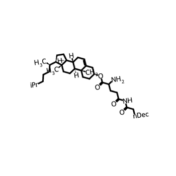 CCCCCCCCCCCC(=O)NC(=O)CCC(N)C(=O)O[C@H]1CC[C@@]2(C)C(=CC[C@H]3[C@@H]4CC[C@H]([C@H](C)CCCC(C)C)[C@@]4(C)CC[C@@H]32)C1